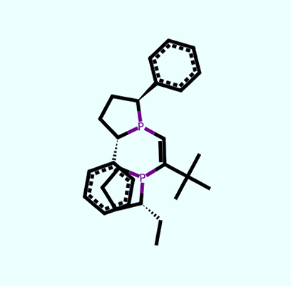 CC[C@@H]1CCCP1/C(=C\P1[C@H](c2ccccc2)CC[C@H]1c1ccccc1)C(C)(C)C